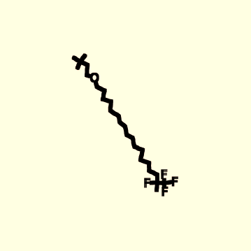 CC(C)(C)CCOCCCCCCCCCCCCCCCCC(C)(F)C(F)(F)F